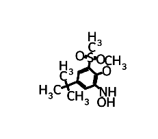 COc1c(NO)cc(C(C)(C)C)cc1S(C)(=O)=O